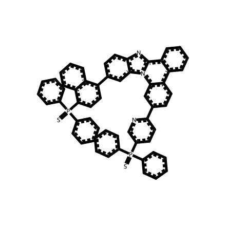 S=P(c1ccccc1)(c1ccccc1)c1ccc(-c2ccc3c4ccccc4c4nc5ccc(-c6ccc(P(=S)(c7ccccc7)c7ccccc7)c7ccccc67)cc5n4c3c2)nc1